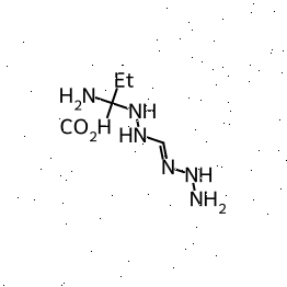 CCC(N)(NNC=NNN)C(=O)O